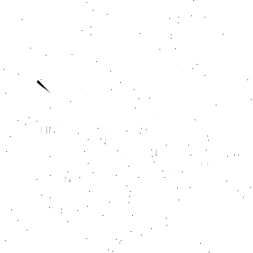 COc1ccc([C@H](C)Nc2ncc3ccc(=O)n(CC(C)(C)C)c3n2)cc1